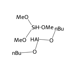 CCCC[O][AlH][O]CCCC.CO[SiH](OC)OC